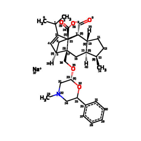 CC(C)C1=C[C@H]2C[C@@]3(C=O)[C@@H]4CC[C@@H](C)[C@H]4C[C@@]2(CO[C@H]2CN(C)CC(c4ccccc4)O2)[C@]13C(=O)[O-].[Na+]